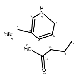 Br.CC1=CNCC=C1.CCCC(=O)O